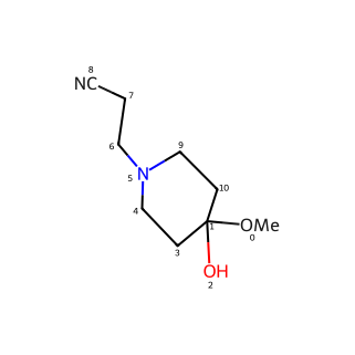 COC1(O)CCN(CCC#N)CC1